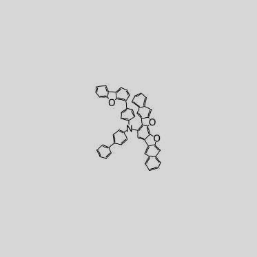 c1ccc(-c2ccc(N(c3ccc(-c4cccc5c4oc4ccccc45)cc3)c3cc4c5cc6ccccc6cc5oc4c4oc5cc6ccccc6cc5c34)cc2)cc1